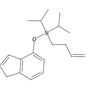 C=CCC[Si](Oc1cccc2c1C=CC2)(C(C)C)C(C)C